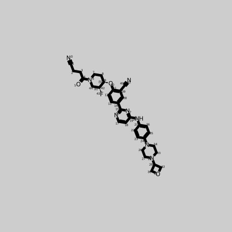 N#CCCC(=O)N1CC[C@H](Oc2ccc(-c3nccc(Nc4ccc(N5CCN(C6COC6)CC5)cc4)n3)cc2C#N)[C@H](F)C1